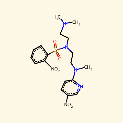 CN(C)CCN(CCN(C)c1ccc([N+](=O)[O-])cn1)S(=O)(=O)c1ccccc1[N+](=O)[O-]